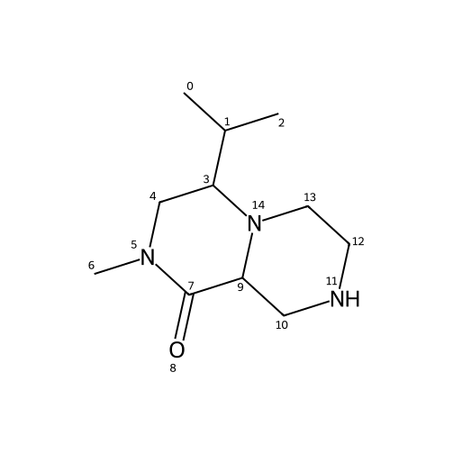 CC(C)C1CN(C)C(=O)C2CNCCN21